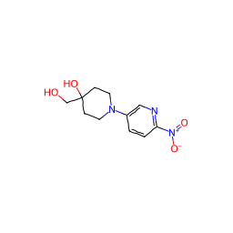 O=[N+]([O-])c1ccc(N2CCC(O)(CO)CC2)cn1